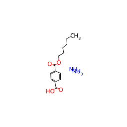 CCCCCCOC(=O)c1ccc(C(=O)O)cc1.N.N